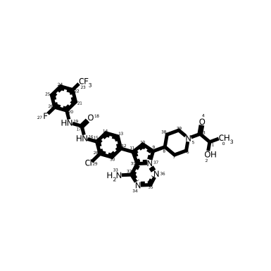 CC(O)C(=O)N1CCC(c2cc(-c3ccc(NC(=O)Nc4cc(C(F)(F)F)ccc4F)c(Cl)c3)c3c(N)ncnn23)CC1